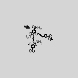 Br.Br.COC(=O)c1cc(OC)c2c(c1)nc(N)n2C/C=C/Cn1c(N)nc2cc(C(N)=O)cc(OCC#CCC3CCN(C(=O)OC(C)(C)C)C3)c21